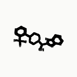 OC(c1nc2ncccc2[nH]1)N1CCC(c2ccccc2C(F)(F)F)CC1